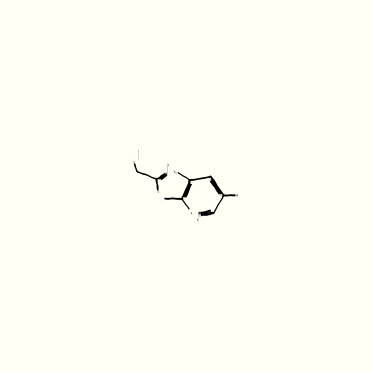 Fc1cnc2sc(CCl)nc2c1